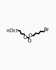 CCCCCCCCCCCOC(=O)OCCCCCBr